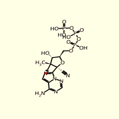 C[C@@]1(C#N)[C@H](O)[C@@H](COP(=O)(O)OP(=O)(O)OP(=O)(O)O)O[C@@]1(C#N)c1ccc2c(N)ncnn12